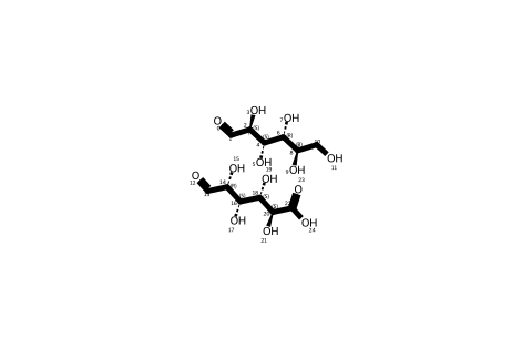 O=C[C@@H](O)[C@@H](O)[C@H](O)[C@H](O)CO.O=C[C@H](O)[C@@H](O)[C@H](O)[C@H](O)C(=O)O